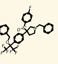 [O-][S+](c1ccc(F)cc1)C1(c2ccc(C(OCc3ccccc3)(C(F)(F)F)C(F)(F)F)cc2)CCN(Cc2ccccc2)C1